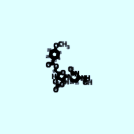 COc1ccc(C(=O)OC[C@H]2O[C@@H](n3ccc(NO)nc3=O)[C@@H]3OC(=O)O[C@@H]32)cc1